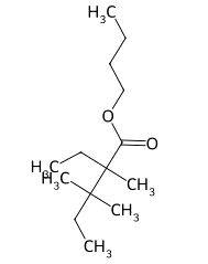 CCCCOC(=O)C(C)(CC)C(C)(C)CC